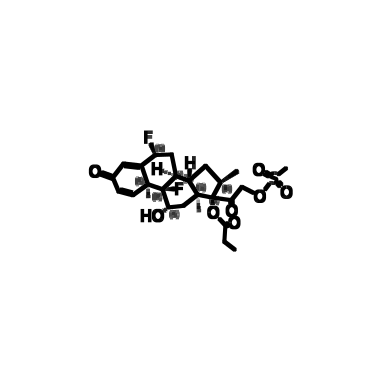 CCC(=O)O[C@@]1(C(=O)COS(C)(=O)=O)[C@H](C)C[C@H]2[C@@H]3C[C@H](F)C4=CC(=O)C=C[C@]4(C)[C@@]3(F)[C@@H](O)C[C@@]21C